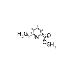 C=Cc1cccc(C(=O)OC)n1